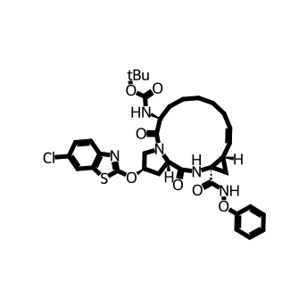 CC(C)(C)OC(=O)N[C@H]1CCCCC/C=C\[C@@H]2C[C@@]2(C(=O)NOc2ccccc2)NC(=O)[C@@H]2C[C@@H](Oc3nc4ccc(Cl)cc4s3)CN2C1=O